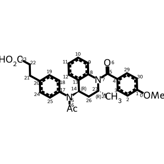 COc1ccc(C(=O)N2c3ccccc3[C@H](N(C(C)=O)c3ccc(CCC(=O)O)cc3)C[C@H]2C)cc1